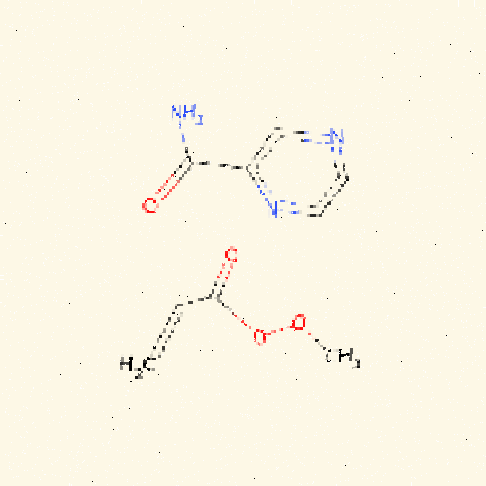 C=CC(=O)OOC.NC(=O)c1cnccn1